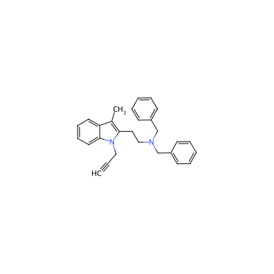 C#CCn1c(CCN(Cc2ccccc2)Cc2ccccc2)c(C)c2ccccc21